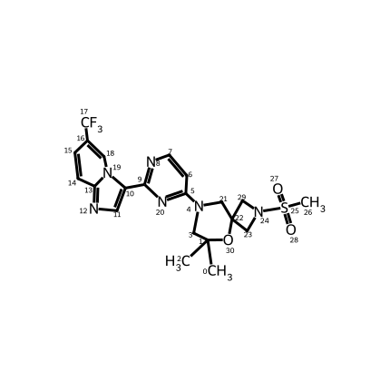 CC1(C)CN(c2ccnc(-c3cnc4ccc(C(F)(F)F)cn34)n2)CC2(CN(S(C)(=O)=O)C2)O1